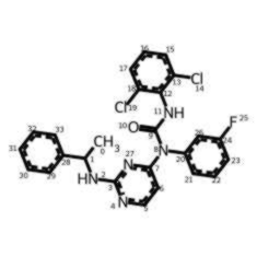 CC(Nc1nccc(N(C(=O)Nc2c(Cl)cccc2Cl)c2cccc(F)c2)n1)c1ccccc1